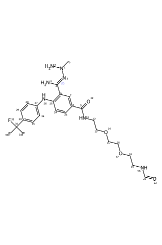 CN(N)/N=C(\N)c1cc(C(=O)NCCOCCOCCNC=O)ccc1Nc1ccc(C(F)(F)F)cc1